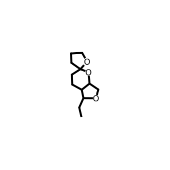 CCC1OCC2OC3(CCCO3)CCC12